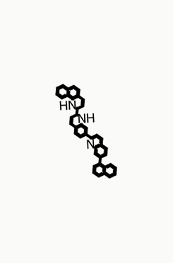 C1=CC(C2C=Cc3ccc4ccccc4c3N2)Nc2cc(-c3ccc4ccc(-c5cccc6ccccc56)cc4n3)ccc21